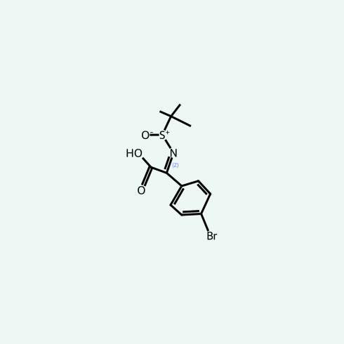 CC(C)(C)[S+]([O-])/N=C(\C(=O)O)c1ccc(Br)cc1